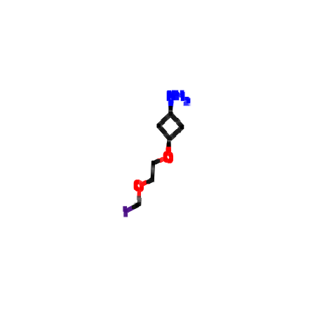 N[C@H]1C[C@@H](OCCOCI)C1